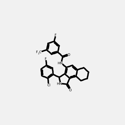 O=C(Nc1cc2c(c3c1C(c1cc(F)ccc1Cl)NC3=O)CCCC2)c1cc(F)cc(C(F)(F)F)c1